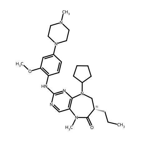 CCC[C@H]1CN(C2CCCC2)c2nc(Nc3ccc(N4CCN(C)CC4)cc3OC)ncc2N(C)C1=O